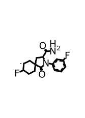 NC(=O)C1CC2(C[CH]C(F)CC2)C(=O)N1c1cccc(F)c1